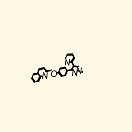 Cn1cc(-c2ccccn2)c(-c2ccc(OCc3ccc4ccccc4n3)cc2)n1